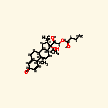 CC(=O)CCC(=O)OCC(=O)[C@@]1(O)[C@H](C)CC2C3CCC4=CC(=O)C=C[C@]4(C)C3=CC[C@@]21C